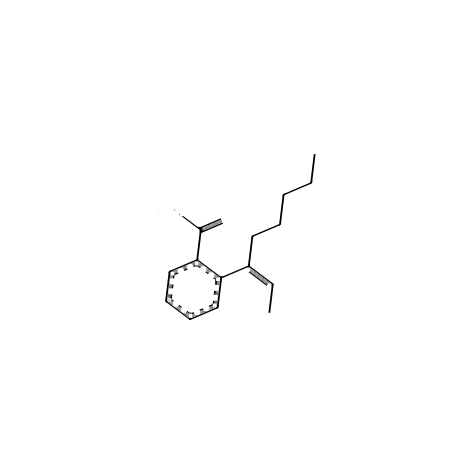 C/C=C(/CCCCC)c1ccccc1C(N)=O